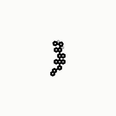 c1cc(-c2ccc3ccccc3c2)cc(-c2c3ccccc3c(-c3ccc(-c4cc5oc6ccc7oc8ccccc8c7c6c5c5ccccc45)c4ccccc34)c3ccccc23)c1